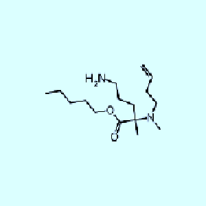 C=CCCN(C)C(C)(CCCN)C(=O)OCCCCC